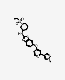 CCS(=O)(=O)N1CCCC(Nc2nc3ccc(Oc4ccnc(-c5cnn(C)c5)c4)cc3s2)C1